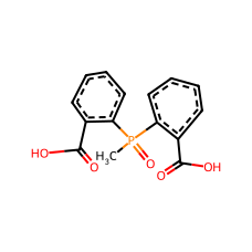 CP(=O)(c1ccccc1C(=O)O)c1ccccc1C(=O)O